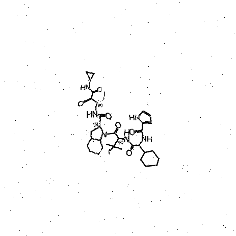 CC(C)(I)[C@H](NC(=O)C(NC(=O)c1ccc[nH]1)C1CCCCC1)C(=O)N1C2CCCCC2C[C@H]1C(=O)N[C@@H](CI)C(=O)C(=O)NC1CC1